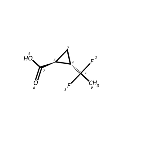 CC(F)(F)[C@H]1C[C@@H]1C(=O)O